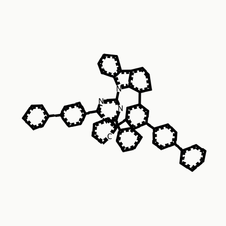 c1ccc(-c2ccc(-c3cc(-c4ccccc4)cc(-c4cccc5c6ccccc6n(-c6nc(-c7ccccc7)nc(-c7ccc(-c8ccccc8)cc7)n6)c45)c3)cc2)cc1